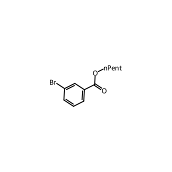 CCCCCOC(=O)c1cccc(Br)c1